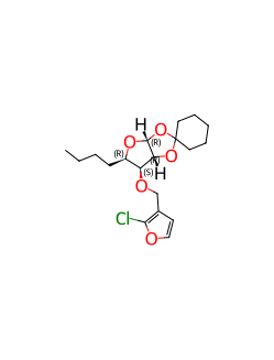 CCCC[C@H]1O[C@@H]2OC3(CCCCC3)O[C@@H]2[C@H]1OCc1ccoc1Cl